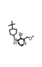 COCc1nccc(NC2CCC(C(C)(C)C)CC2)c1Br